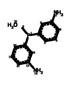 CP(c1cccc(N)c1)c1cccc(N)c1.O